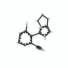 N#Cc1cccc(F)c1-c1ncc2n1CCC2